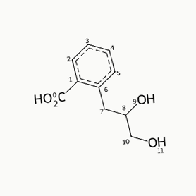 O=C(O)c1ccccc1CC(O)CO